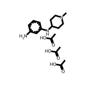 CC(=O)O.CC(=O)O.CC(=O)O.CN1CCC(Nc2cccc(N)c2)CC1